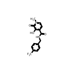 Cn1ccc(C(=O)NCc2ccc(C(F)(F)F)cc2)c(O)c1=O